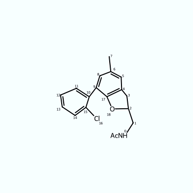 CC(=O)NCC1Cc2cc(C)cc(-c3ccccc3Cl)c2O1